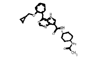 CC(=O)N[C@H]1CC[C@H](NC(=O)c2c[nH]c3c(-c4ccccc4OCC4CC4)ncnc23)CC1